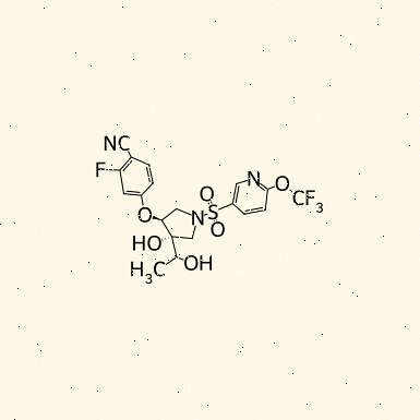 CC(O)[C@]1(O)CN(S(=O)(=O)c2ccc(OC(F)(F)F)nc2)C[C@@H]1Oc1ccc(C#N)c(F)c1